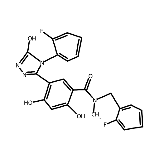 CN(Cc1ccccc1F)C(=O)c1cc(-c2nnc(O)n2-c2ccccc2F)c(O)cc1O